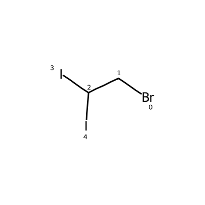 BrCC(I)I